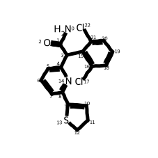 NC(=O)C(c1cccc(C2=CCCS2)n1)c1c(Cl)cccc1Cl